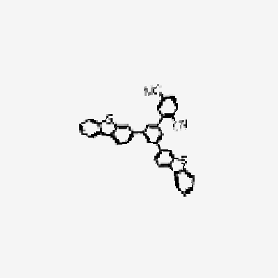 N#Cc1ccc(C#N)c(-c2cc(-c3ccc4c(c3)sc3ccccc34)cc(-c3ccc4c(c3)sc3ccccc34)c2)c1